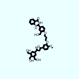 COc1ccc(C2CC(c3cc(CO)c(CO)c(CO)c3)=NO2)cc1OCCCOc1ccc(C2NC(=O)c3ccccc3N2)cc1CO